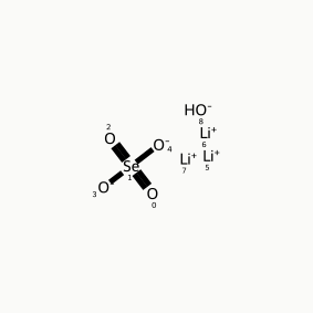 O=[Se](=O)([O-])[O-].[Li+].[Li+].[Li+].[OH-]